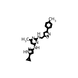 Cc1ccc(C2=NOC(CNc3nc(C)cc(Nc4cc(C5CC5)[nH]n4)n3)C2)cc1